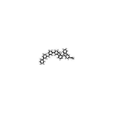 N#Cc1ccc2c(c1)c1ccccc1n2-c1cccc2c1oc1ccc(-c3cccc(Cc4cccc(-c5ccccc5)c4)c3)cc12